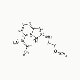 COCCNc1nc2cccc(C(N)=NO)c2[nH]1